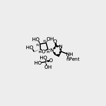 CCCCCNc1ccn([C@@H]2O[C@H](CO)[C@@H](O)[C@@H]2O)c(=O)n1.O=P(O)(O)O